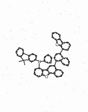 CC1(C)c2ccccc2-c2ccc(N(c3ccccc3)c3cccc4oc5c6ccccc6c(-c6ccc(-c7cccc8c7oc7ccccc78)c7ccccc67)cc5c34)cc21